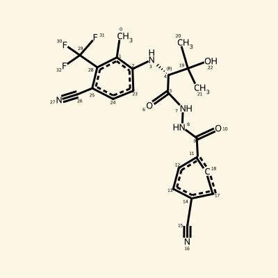 Cc1c(N[C@@H](C(=O)NNC(=O)c2ccc(C#N)cc2)C(C)(C)O)ccc(C#N)c1C(F)(F)F